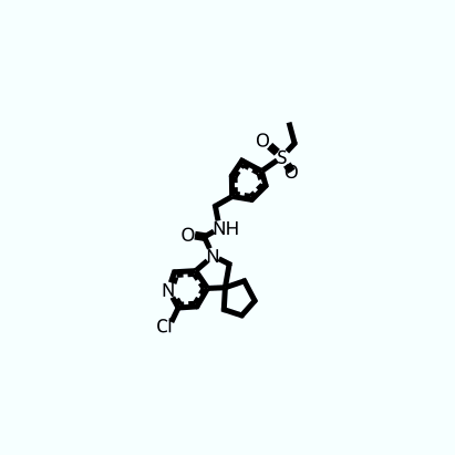 CCS(=O)(=O)c1ccc(CNC(=O)N2CC3(CCCC3)c3cc(Cl)ncc32)cc1